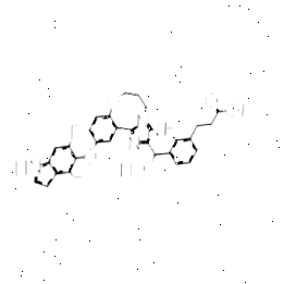 CC(c1nc2n(n1)CCCOc1ccc(Oc3c(F)cc4[nH]ccc4c3F)cc1-2)c1cccc(CCC(=O)O)c1F